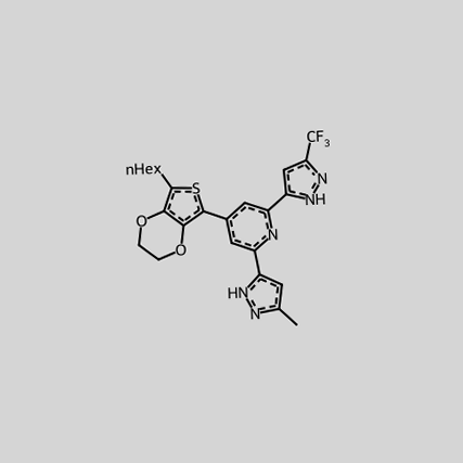 CCCCCCc1sc(-c2cc(-c3cc(C)n[nH]3)nc(-c3cc(C(F)(F)F)n[nH]3)c2)c2c1OCCO2